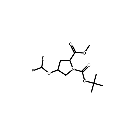 COC(=O)C1CC(OC(F)F)CN1C(=O)OC(C)(C)C